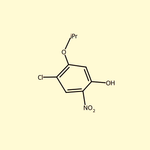 CC(C)Oc1cc(O)c([N+](=O)[O-])cc1Cl